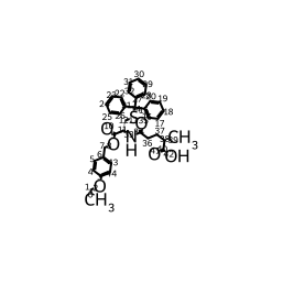 CCOc1ccc(COC(=O)[C@H](CSC(c2ccccc2)(c2ccccc2)c2ccccc2)NC(=O)CC[C@H](C)C(=O)O)cc1